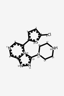 Clc1ccc(-c2cncc3nnc(N4CCNCC4)n23)s1